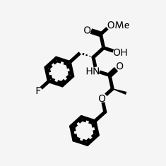 COC(=O)C(O)[C@@H](Cc1ccc(F)cc1)NC(=O)[C@@H](C)OCc1ccccc1